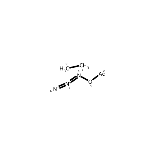 CC.CC(=O)ON=[N+]=[N-]